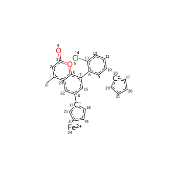 Cc1cc(=O)oc2c(-c3ccccc3Cl)cc(-[c-]3cccc3)cc12.[Fe+2].c1cc[cH-]c1